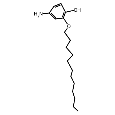 CCCCCCCCCCCCOc1cc(N)ccc1O